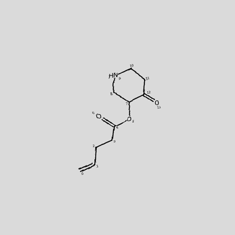 C=CCCC(=O)OC1CNCCC1=O